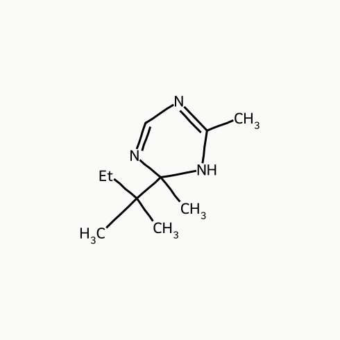 CCC(C)(C)C1(C)N=CN=C(C)N1